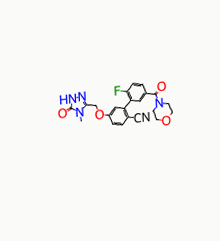 Cn1c(COc2ccc(C#N)c(-c3cc(C(=O)N4CCOCC4)ccc3F)c2)n[nH]c1=O